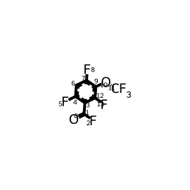 O=C(F)c1c(F)cc(F)c(OC(F)(F)F)c1F